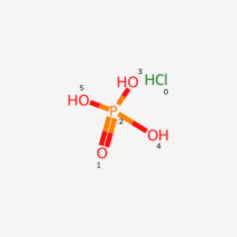 Cl.O=P(O)(O)O